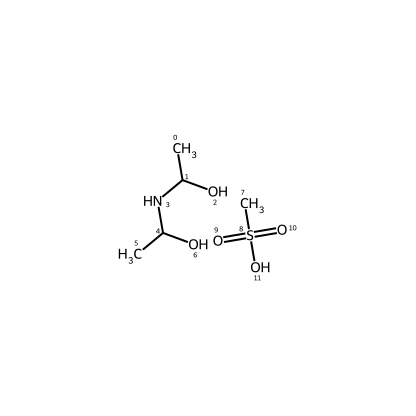 CC(O)NC(C)O.CS(=O)(=O)O